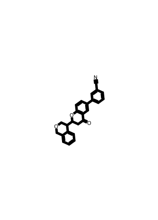 N#Cc1cccc(-c2ccc3c(c2)C(=O)CC(C2COCc4ccccc42)O3)c1